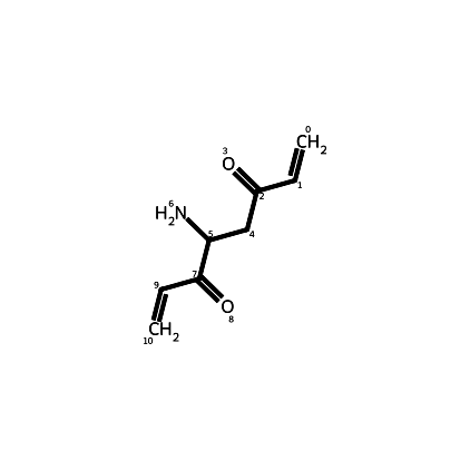 C=CC(=O)CC(N)C(=O)C=C